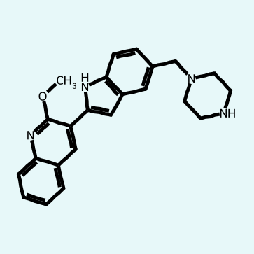 COc1nc2ccccc2cc1-c1cc2cc(CN3CCNCC3)ccc2[nH]1